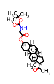 CC(=O)[C@H]1CC[C@H]2[C@@H]3CC[C@H]4C[C@H](OC(=O)CNC(=O)OC(C)(C)C)CC[C@]4(C)[C@H]3CC[C@]12C